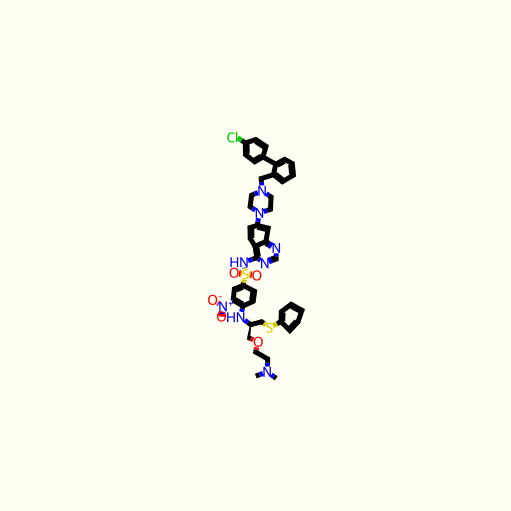 CN(C)CCOC[C@H](CSc1ccccc1)Nc1ccc(S(=O)(=O)Nc2ncnc3cc(N4CCN(Cc5ccccc5-c5ccc(Cl)cc5)CC4)ccc23)cc1[N+](=O)[O-]